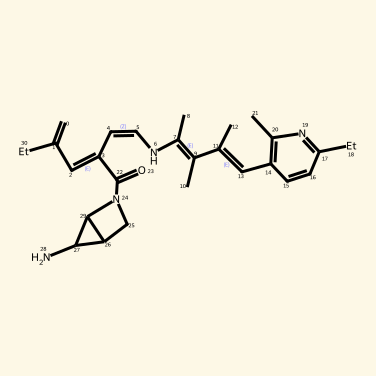 C=C(/C=C(\C=C/N/C(C)=C(C)/C(C)=C/c1ccc(CC)nc1C)C(=O)N1CC2C(N)C21)CC